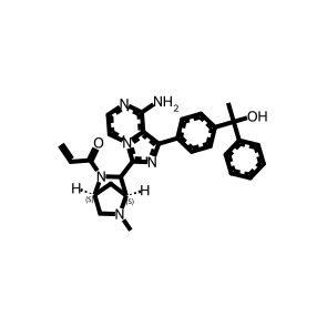 C=CC(=O)N1C(c2nc(-c3ccc(C(C)(O)c4ccccc4)cc3)c3c(N)nccn23)[C@@H]2C[C@H]1CN2C